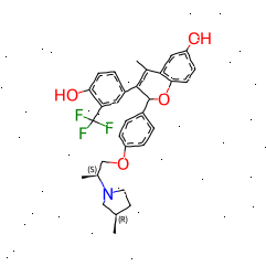 CC1=C(c2ccc(O)c(C(F)(F)F)c2)C(c2ccc(OC[C@H](C)N3CC[C@@H](C)C3)cc2)Oc2ccc(O)cc21